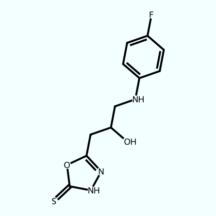 OC(CNc1ccc(F)cc1)Cc1n[nH]c(=S)o1